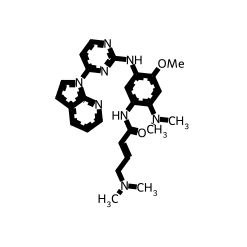 COc1cc(N(C)C)c(NC(=O)/C=C/CN(C)C)cc1Nc1nccc(-n2ccc3cccnc32)n1